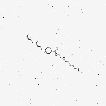 CCOCCOCCOCCOC(=O)C1CC=C(CC/C=C(\C)CCC=C(C)C)CC1